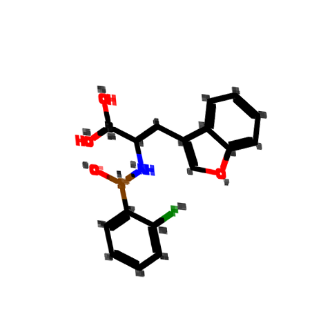 [O-][S+](NC(Cc1coc2ccccc12)B(O)O)c1ccccc1F